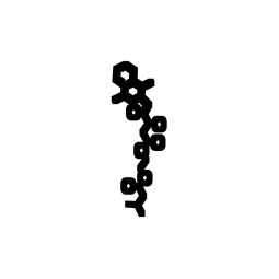 C=c1c2ccccc2c(=C)c2oc(C(=O)CC(=O)OCCOC(=O)CC(C)C)cc12